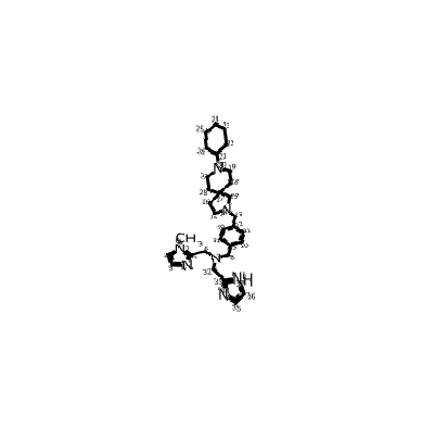 Cn1ccnc1CN(Cc1ccc(CN2CCC3(CCN(C4CCCCC4)CC3)C2)cc1)Cc1ncc[nH]1